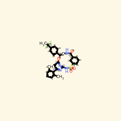 Cc1cccc(C)c1-c1cc2nc(n1)NS(=O)(=O)c1cccc(c1)C(=O)NCC(c1ccc(C(C)(F)F)cc1)O2